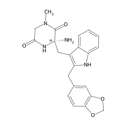 CN1CC(=O)N[C@](N)(Cc2c(Cc3ccc4c(c3)OCO4)[nH]c3ccccc23)C1=O